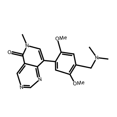 COc1cc(-c2cn(C)c(=O)c3cncnc23)c(OC)cc1CN(C)C